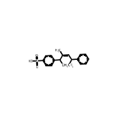 CC(=CC(C)c1ccccc1)C(C)c1ccc(S(=O)(=O)O)cc1